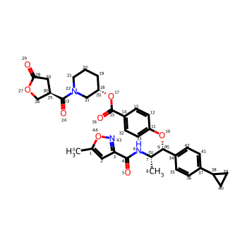 Cc1cc(C(=O)N[C@@H](C)[C@H](Oc2ccc(C(=O)O[C@H]3CCCN(C(=O)[C@H]4COC(=O)C4)C3)cc2)c2ccc(C3CC3)cc2)no1